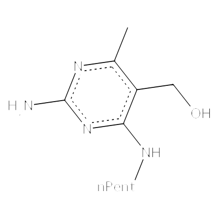 CCCCCNc1nc(N)nc(C)c1CO